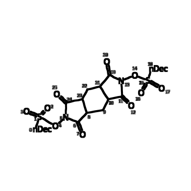 CCCCCCCCCCS(=O)(=O)ON1C(=O)C2CC3C(=O)N(OS(=O)(=O)CCCCCCCCCC)C(=O)C3CC2C1=O